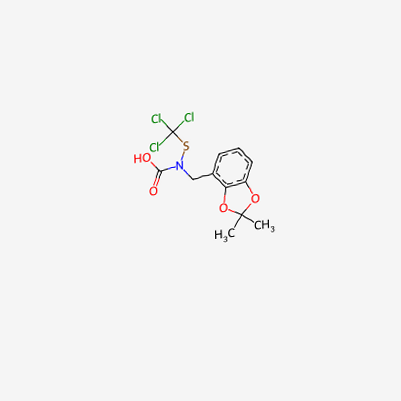 CC1(C)Oc2cccc(CN(SC(Cl)(Cl)Cl)C(=O)O)c2O1